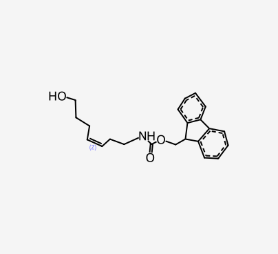 O=C(NCC/C=C\CCCO)OCC1c2ccccc2-c2ccccc21